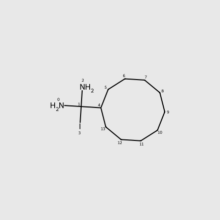 NC(N)(I)C1CCCCCCCCC1